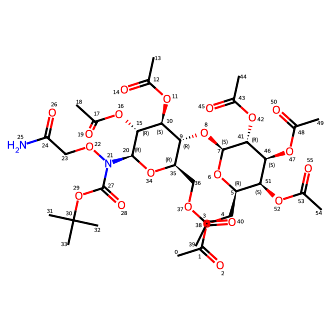 CC(=O)OC[C@H]1O[C@@H](O[C@H]2[C@H](OC(C)=O)[C@@H](OC(C)=O)[C@H](N(OCC(N)=O)C(=O)OC(C)(C)C)O[C@@H]2COC(C)=O)[C@H](OC(C)=O)[C@@H](OC(C)=O)[C@H]1OC(C)=O